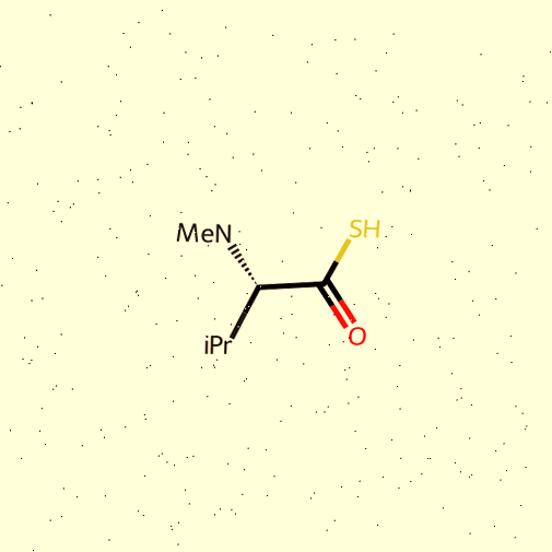 CN[C@H](C(=O)S)C(C)C